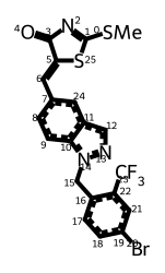 CSC1=NC(=O)C(=Cc2ccc3c(cnn3Cc3ccc(Br)cc3C(F)(F)F)c2)S1